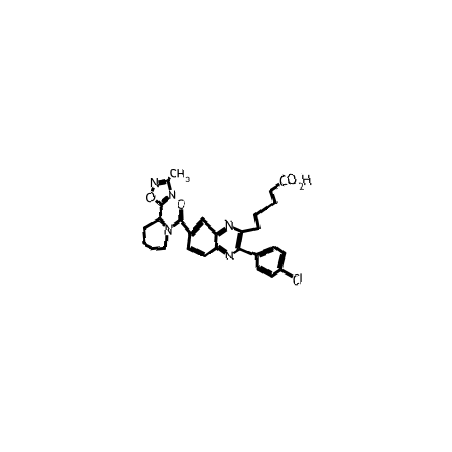 Cc1noc(C2CCCCN2C(=O)c2ccc3nc(-c4ccc(Cl)cc4)c(CCCCC(=O)O)nc3c2)n1